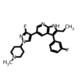 CCc1[nH]c2ncc(-c3cn(C4CCN(C)CC4)nc3F)cc2c1-c1cccc(F)c1